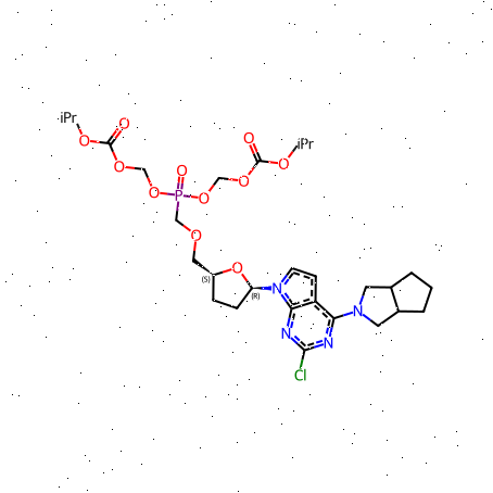 CC(C)OC(=O)OCOP(=O)(COC[C@@H]1CC[C@H](n2ccc3c(N4CC5CCCC5C4)nc(Cl)nc32)O1)OCOC(=O)OC(C)C